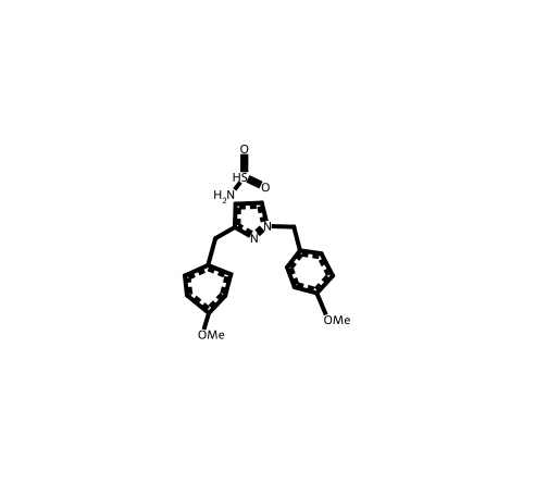 COc1ccc(Cc2ccn(Cc3ccc(OC)cc3)n2)cc1.N[SH](=O)=O